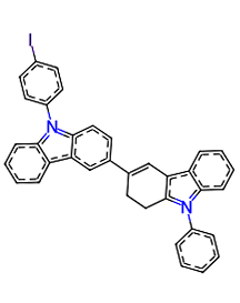 Ic1ccc(-n2c3ccccc3c3cc(C4=Cc5c(n(-c6ccccc6)c6ccccc56)CC4)ccc32)cc1